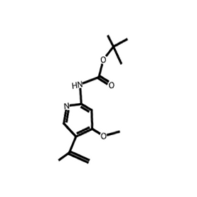 C=C(C)c1cnc(NC(=O)OC(C)(C)C)cc1OC